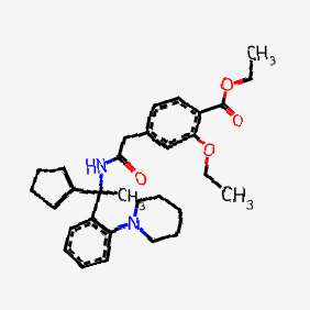 CCOC(=O)c1ccc(CC(=O)NC(C)(c2ccccc2N2CCCCC2)C2CCCC2)cc1OCC